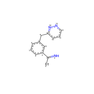 CCC(=N)c1cccc(Cc2cccnn2)c1